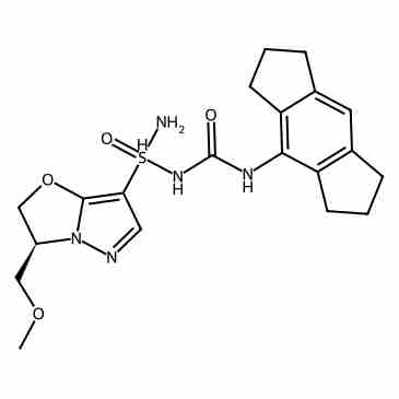 COC[C@H]1COc2c([SH](N)(=O)NC(=O)Nc3c4c(cc5c3CCC5)CCC4)cnn21